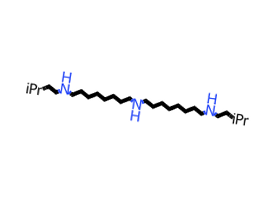 CC(C)CCNCCCCCCCCNCCCCCCCCNCCC(C)C